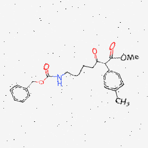 COC(=O)C(C(=O)CCCCNC(=O)OCc1ccccc1)c1ccc(C)cc1